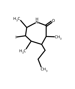 CCCC1C(C)C(=O)NC(C)C(I)C1C